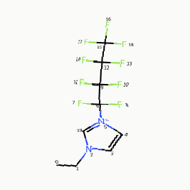 CCn1cc[n+](C(F)(F)C(F)(F)C(F)(F)C(F)(F)F)c1